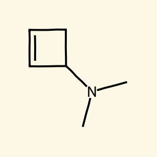 CN(C)C1C=CC1